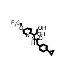 O=C(Cc1ccc(C2CC2)cc1)NC(c1ccc(OCC(F)(F)F)cn1)C(O)CO